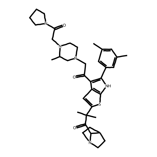 Cc1cc(C)cc(-c2[nH]c3sc(C(C)(C)C(=O)C4C5CCN4CC5)cc3c2C(=O)CN2CCN(CC(=O)N3CCCC3)C(C)C2)c1